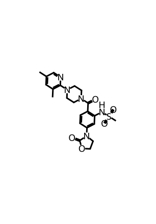 Cc1cnc(N2CCN(C(=O)c3ccc(N4CCOC4=O)cc3NS(C)(=O)=O)CC2)c(C)c1